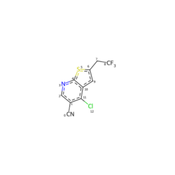 N#Cc1cnc2sc(CC(F)(F)F)cc2c1Cl